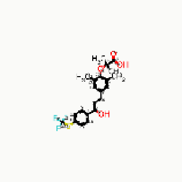 Cc1cc(CCC(O)c2ccc(SC(F)(F)F)cc2)cc(C)c1OC(C)(C)C(=O)O